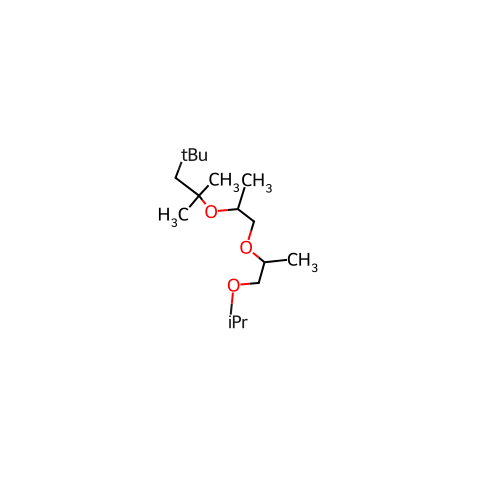 CC(C)OCC(C)OCC(C)OC(C)(C)CC(C)(C)C